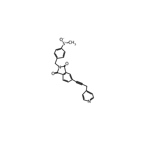 C[S+]([O-])c1ccc(CN2C(=O)c3ccc(C#CCc4ccncc4)cc3C2=O)cc1